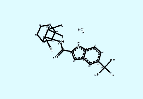 CC1(C)[C@H](NC(=O)c2cc3cc(C(F)(F)F)ccc3s2)C2CCN1CC2.Cl